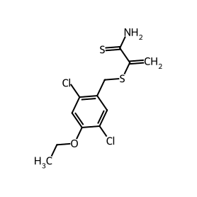 C=C(SCc1cc(Cl)c(OCC)cc1Cl)C(N)=S